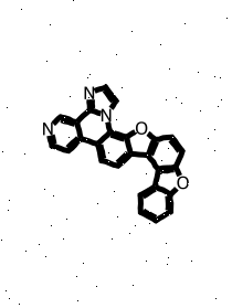 c1ccc2c(c1)oc1ccc3oc4c(ccc5c6ccncc6c6nccn6c54)c3c12